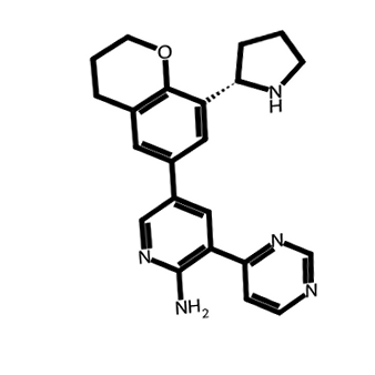 Nc1ncc(-c2cc3c(c([C@@H]4CCCN4)c2)OCCC3)cc1-c1ccncn1